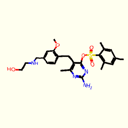 COc1cc(CNCCO)ccc1Cc1c(C)nc(N)nc1OS(=O)(=O)c1c(C)cc(C)cc1C